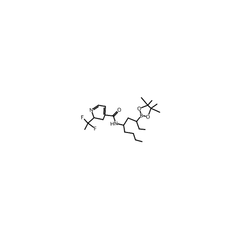 CCCCC(CC(CC)B1OC(C)(C)C(C)(C)O1)NC(=O)C1=CC=NC(C(C)(F)F)C1